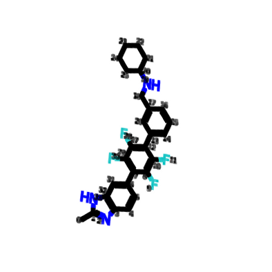 Cc1nc2ccc(-c3c(F)c(F)c(-c4cccc(CNC5CCCCC5)c4)c(F)c3F)cc2[nH]1